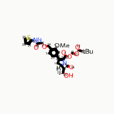 COc1cc(C2=C(C(=O)OCOC(=O)C(C)(C)C)N3C(=O)[C@H]([C@@H](C)O)[C@H]3C2)ccc1COCC(=O)Nc1cccs1